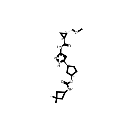 COC[C@H]1C[C@@H]1C(=O)Nc1cc([C@H]2CC[C@@H](OC(=O)NC3CC(C)(F)C3)C2)[nH]n1